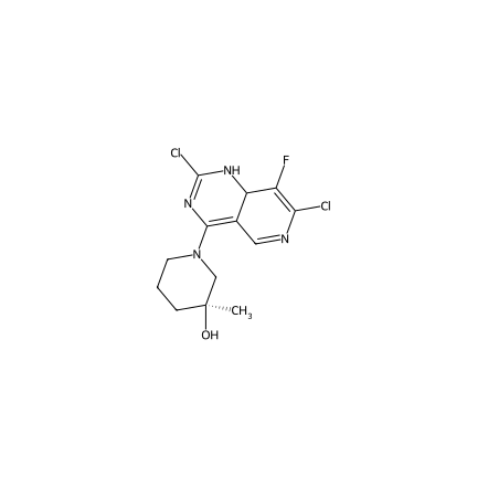 C[C@]1(O)CCCN(C2=C3C=NC(Cl)=C(F)C3NC(Cl)=N2)C1